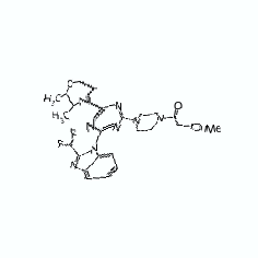 COCC(=O)N1CCN(c2nc(N3CCOC(C)C3C)nc(-n3c(C(F)F)nc4ccccc43)n2)CC1